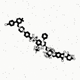 [2H]C1([2H])N(CC[C@H](CSc2ccccc2)Nc2ccc(S(=O)(=O)NC(=O)c3ccc(N4CCN(CC5=C(c6ccc(Cl)cc6)CCC(C)(C)C5)CC4)cc3)cc2S(=O)(=O)C(F)(F)F)C([2H])([2H])C([2H])([2H])N(Cc2cc3c(cc2F)C(=O)N(C2CCC(=O)NC2=O)C3=O)C1([2H])[2H]